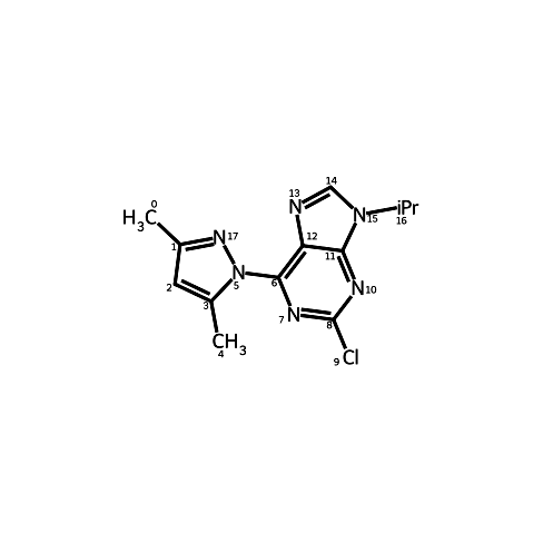 Cc1cc(C)n(-c2nc(Cl)nc3c2ncn3C(C)C)n1